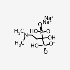 CN(C)CCC(O)(P(=O)([O-])O)P(=O)([O-])O.[Na+].[Na+]